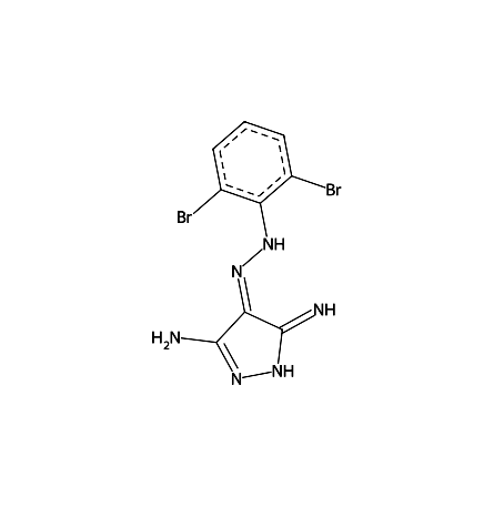 N=C1NN=C(N)/C1=N/Nc1c(Br)cccc1Br